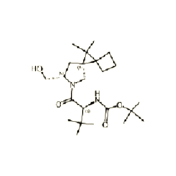 CC(C)(C)OC(=O)N[C@H](C(=O)N1C[C@]2(C[C@H]1CO)C(C)(C)C21CCC1)C(C)(C)C